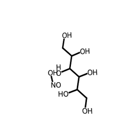 O=NO.OCC(O)C(O)C(O)C(O)CO